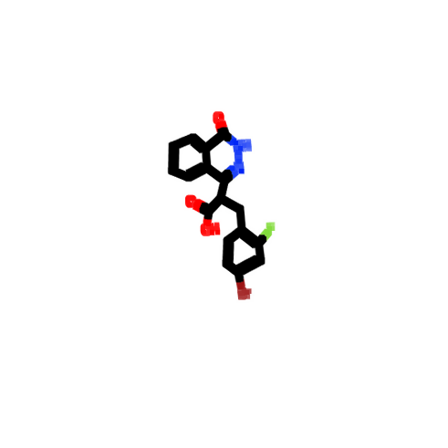 O=C(O)C(Cc1ccc(Br)cc1F)c1n[nH]c(=O)c2ccccc12